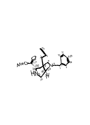 C=CCC12CN(Cc3ccccc3)[C@H]1CN[C@@H]2C(=O)OC